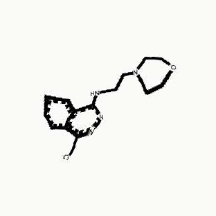 Clc1nnc(NCCN2CCOCC2)c2ccccc12